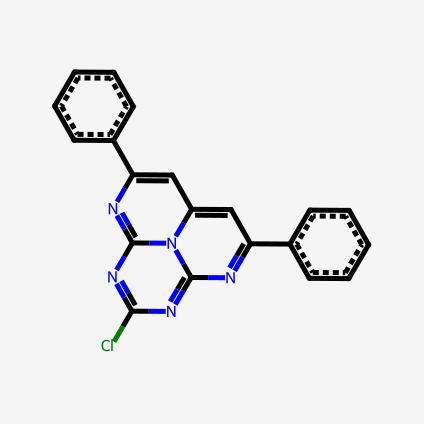 ClC1=NC2=NC(c3ccccc3)=CC3=CC(c4ccccc4)=NC(=N1)N32